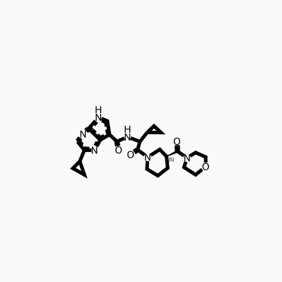 O=C(NC(C(=O)N1CCC[C@H](C(=O)N2CCOCC2)C1)C1CC1)c1c[nH]c2ncc(C3CC3)nc12